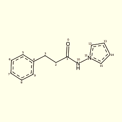 O=C(CCc1ccccc1)Nn1cccc1